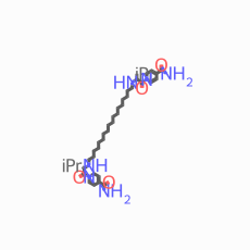 CC(C)C(NCCCCCCCCCCCCCCCCCCNC(C(=O)N1C=CC(C(N)=O)=CC1)C(C)C)C(=O)N1C=CC(C(N)=O)=CC1